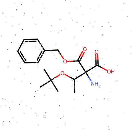 CC(OC(C)(C)C)C(N)(C(=O)O)C(=O)OCc1ccccc1